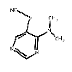 CN(C)c1ncncc1SC#N